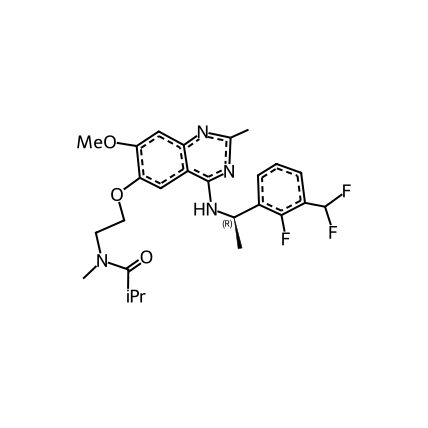 COc1cc2nc(C)nc(N[C@H](C)c3cccc(C(F)F)c3F)c2cc1OCCN(C)C(=O)C(C)C